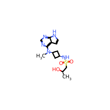 C[C@@H](O)CS(=O)(=O)N[C@H]1C[C@@H](N(C)c2ncnc3[nH]ccc23)C1